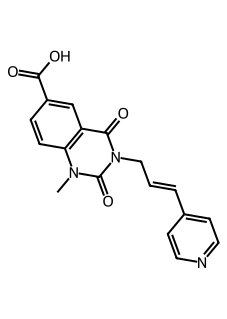 Cn1c(=O)n(CC=Cc2ccncc2)c(=O)c2cc(C(=O)O)ccc21